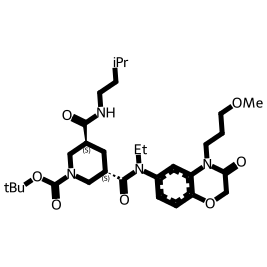 CCN(C(=O)[C@H]1C[C@H](C(=O)NCCC(C)C)CN(C(=O)OC(C)(C)C)C1)c1ccc2c(c1)N(CCCOC)C(=O)CO2